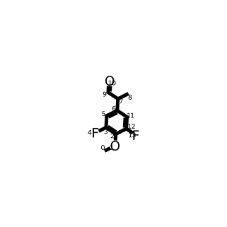 COc1c(F)cc(C(C)C=O)cc1F